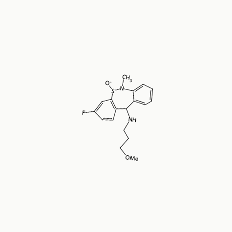 COCCCNC1c2ccccc2N(C)[S+]([O-])c2cc(F)ccc21